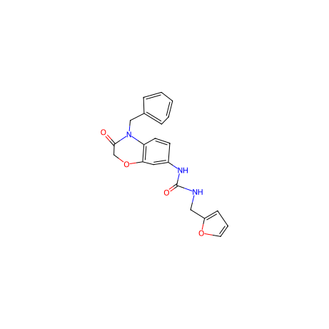 O=C(NCc1ccco1)Nc1ccc2c(c1)OCC(=O)N2Cc1ccccc1